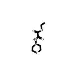 CCOC(=O)C(=O)NN1CCOCC1